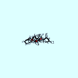 CC(C)(Oc1ncc(Cl)cc1F)C(=O)NC1CC2CCC(C1)N2c1ccc(S(C)(=O)=O)cc1